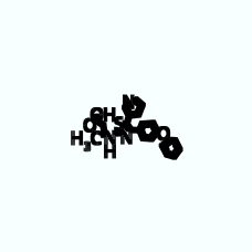 CC(CC(=O)O)Nc1nc(-c2ccc(Oc3ccccc3)cc2)c(-c2cccnc2)s1